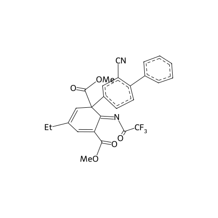 CCC1=CC(C(=O)OC)(c2ccc(-c3ccccc3)c(C#N)c2)C(=NC(=O)C(F)(F)F)C(C(=O)OC)=C1